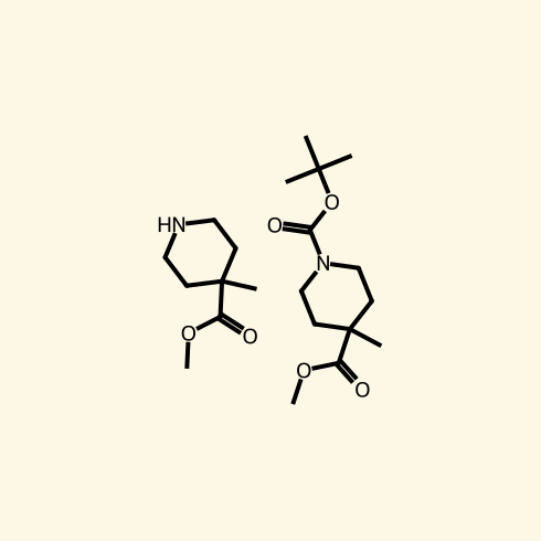 COC(=O)C1(C)CCN(C(=O)OC(C)(C)C)CC1.COC(=O)C1(C)CCNCC1